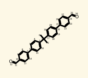 CC(C)(c1ccc(-c2ccc(C=O)cc2)cc1)c1ccc(-c2ccc(C=O)cc2)cc1